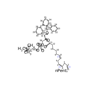 CCCCC/C=C\C/C=C\C/C=C\CCCCC(=O)O[C@H](COC(c1ccccc1)(c1ccccc1)c1ccccc1)COP(=O)([O-])OCC[N+](C)(C)C